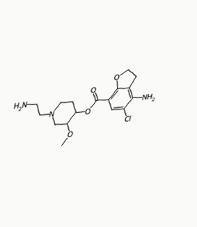 COC1CN(CCN)CCC1OC(=O)c1cc(Cl)c(N)c2c1OCC2